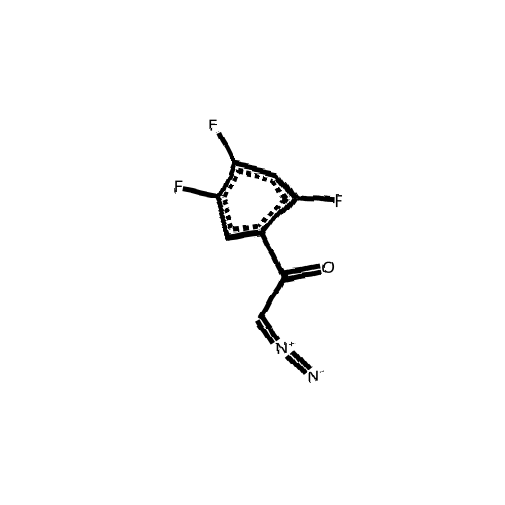 [N-]=[N+]=CC(=O)c1cc(F)c(F)cc1F